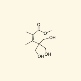 COC(=O)C(C)=C(C)C(CO)(CO)CO